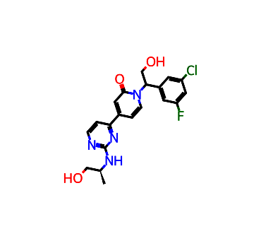 C[C@@H](CO)Nc1nccc(-c2ccn(C(CO)c3cc(F)cc(Cl)c3)c(=O)c2)n1